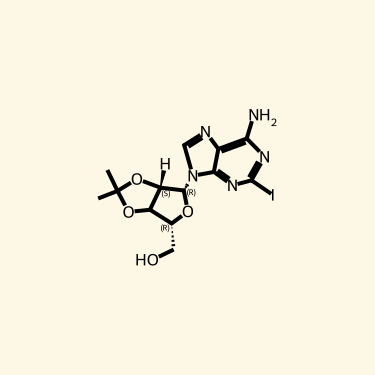 CC1(C)OC2[C@@H](CO)O[C@@H](n3cnc4c(N)nc(I)nc43)[C@H]2O1